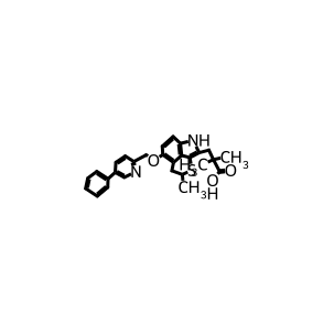 CC1Cc2c(OCc3ccc(-c4ccccc4)cn3)ccc3[nH]c(CC(C)(C)C(=O)O)c(c23)S1